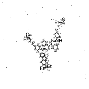 CCC1(CCCCc2ccc(Nc3ccc(-c4ccc(N(c5ccc(CCCCC6(CC)COC6)cc5)c5ccc6c(c5)C(C)(C)c5cc(C(C)(CC)CC)ccc5-6)c5ccccc45)c4ccccc34)cc2)COC1